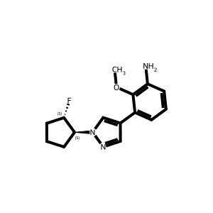 COc1c(N)cccc1-c1cnn([C@H]2CCC[C@@H]2F)c1